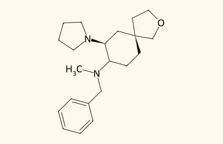 CN(Cc1ccccc1)C1CC[C@]2(CCOC2)C[C@@H]1N1CCCC1